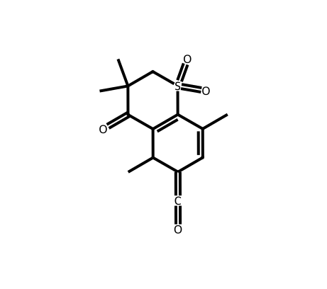 CC1=CC(=C=O)C(C)C2=C1S(=O)(=O)CC(C)(C)C2=O